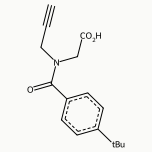 C#CCN(CC(=O)O)C(=O)c1ccc(C(C)(C)C)cc1